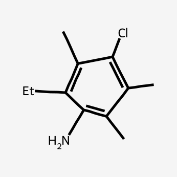 CCc1c(C)c(Cl)c(C)c(C)c1N